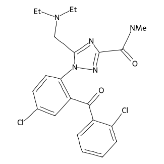 CCN(CC)Cc1nc(C(=O)NC)nn1-c1ccc(Cl)cc1C(=O)c1ccccc1Cl